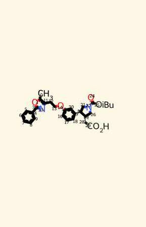 Cc1oc(-c2ccccc2)nc1CCOc1cccc([C@@H]2CN(C(=O)OCC(C)C)C[C@@H]2CC(=O)O)c1